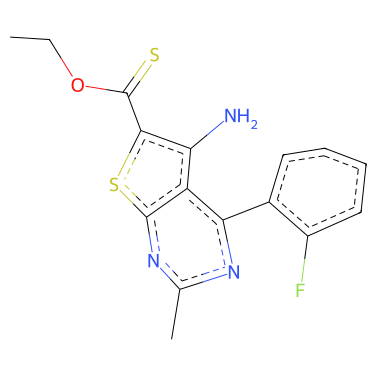 CCOC(=S)c1sc2nc(C)nc(-c3ccccc3F)c2c1N